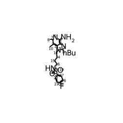 CCCCc1nc2c(N)nc(C)c(C)c2n1CCCCNS(=O)(=O)c1ccc(F)cc1